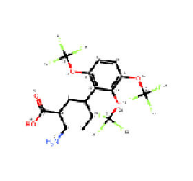 CCC(CC(CN)C(=O)O)c1c(OC(F)(F)F)ccc(OC(F)(F)F)c1OC(F)(F)F